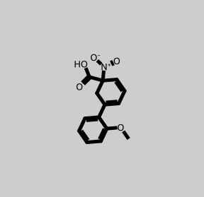 COc1ccccc1C1=CC=CC(C(=O)O)([N+](=O)[O-])C1